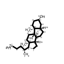 CC(C)[Te]CC[C@@H](C)[C@H]1CC[C@H]2[C@@H]3CC[C@H]4C[C@@H](O)CC[C@]4(C)[C@H]3CC[C@]12C